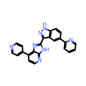 c1ccc(-c2ccc3[nH]nc(-c4nc5c(-c6ccncc6)ccnc5[nH]4)c3c2)nc1